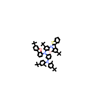 Cc1cc(C(C)(C)C)ccc1N(c1ccc2c(c1)N(c1cccc3c1oc1cc(C(C)(C)C)ccc13)c1cc(C(C)(C)C)cc3c1B2c1cc(C(C)(C)C)cc2c4c5ccccc5sc4n-3c12)c1ccc(C(C)(C)C)cc1C